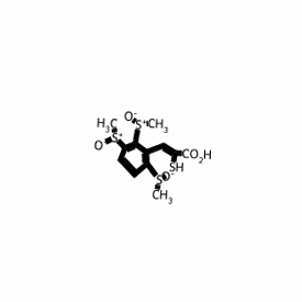 C[S+]([O-])c1ccc([S+](C)[O-])c([S+](C)[O-])c1C=C(S)C(=O)O